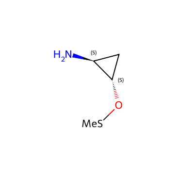 CSO[C@H]1C[C@@H]1N